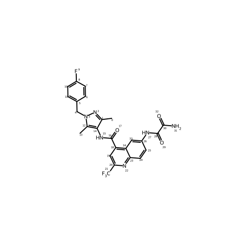 Cc1nn(Cc2ccc(F)cc2)c(C)c1NC(=O)c1cc(C(F)(F)F)nc2ccc(NC(=O)C(N)=O)cc12